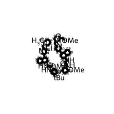 COCC1CN(Cc2ccc(-c3ccc(NC(=O)Nc4cc(C(C)(C)C)ccc4OC)c4ccccc34)cn2)CCO1.COc1ccc(C(C)(C)C)cc1NC(=O)Nc1ccc(-c2ccc(CN3C(C)CCCC3C)nc2)c2ccccc12